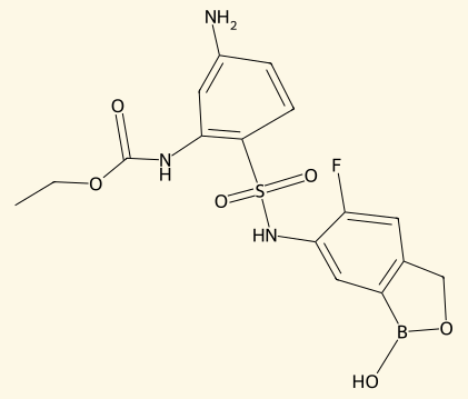 CCOC(=O)Nc1cc(N)ccc1S(=O)(=O)Nc1cc2c(cc1F)COB2O